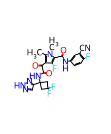 Cc1c(C(=O)C(=O)NC2(c3cn[nH]n3)CC(F)(F)C2)c(F)c(C(=O)Nc2ccc(F)c(C#N)c2)n1C